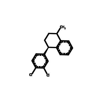 CC1CC[C@H](c2ccc(Cl)c(Cl)c2)c2ccccc21